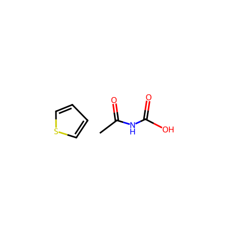 CC(=O)NC(=O)O.c1ccsc1